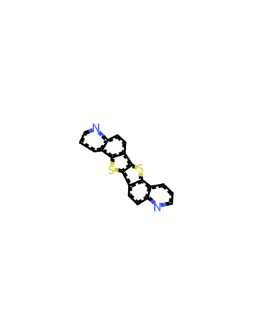 c1cnc2ccc3c(sc4c5ccc6ncccc6c5sc34)c2c1